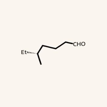 CC[C@@H](C)CCCC=O